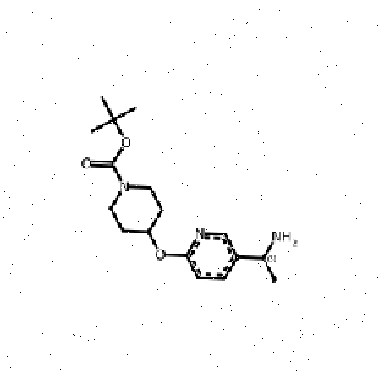 C[C@H](N)c1ccc(OC2CCN(C(=O)OC(C)(C)C)CC2)nc1